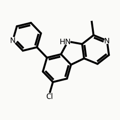 Cc1nccc2c1[nH]c1c(-c3cccnc3)cc(Cl)cc12